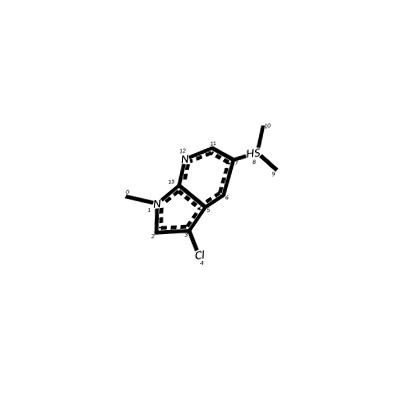 Cn1cc(Cl)c2cc([SH](C)C)cnc21